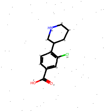 O=C(O)c1ccc(C2CCCNC2)c(Cl)c1